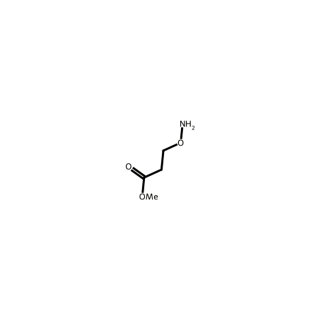 COC(=O)CCON